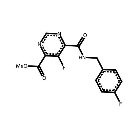 COC(=O)c1ncnc(C(=O)NCc2ccc(F)cc2)c1F